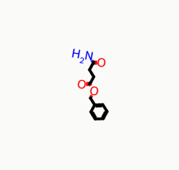 NC(=O)CCC(=O)OCc1ccccc1